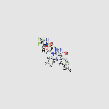 Cc1cc2c(cc1F)c(C(N)=O)c(-c1ccc(S(=O)(=O)N[C@@H](C)C(F)(F)F)cn1)n2C1CCCCC1